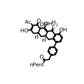 C=C1C2=C(O)[C@]3(O)C(=O)C(C(C)=O)=C(O)C[C@@H]3C[C@@H]2Cc2c(-c3ccc(CC(=O)CCCCC)cc3)ccc(O)c21